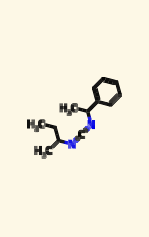 CCC(C)N=C=NC(C)c1ccccc1